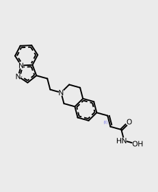 O=C(/C=C/c1ccc2c(c1)CCN(CCc1cnn3ccccc13)C2)NO